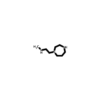 CNCCN1CCCNCC1